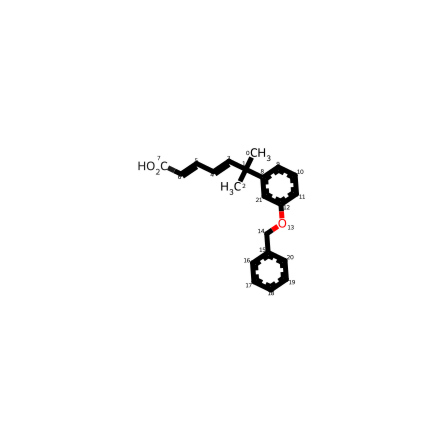 CC(C)(/C=C/C=C/C(=O)O)c1cccc(OCc2ccccc2)c1